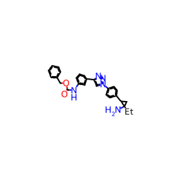 CCC1(N)CC1c1ccc(-n2cc(-c3cccc(NC(=O)OCc4ccccc4)c3)nn2)cc1